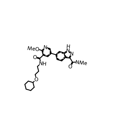 CNC(=O)c1n[nH]c2cc(-c3cnc(OC)c(C(=O)NCCCOC4CCCCC4)c3)ccc12